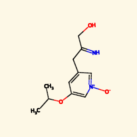 CC(C)Oc1cc(CC(=N)CO)c[n+]([O-])c1